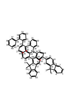 CC1(C)c2ccccc2-c2ccc(-c3ccc(N(c4ccccc4-c4ccccc4-c4ccccc4-c4ccccc4)c4ccccc4-c4cccc5c4C(C)(C)c4ccccc4-5)cc3)cc21